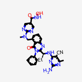 CC[C@H](Nc1nc(N)nc(C)c1C#N)c1nc2cccc(CN(C)c3ncc(C(=O)NO)cn3)c2c(=O)n1-c1ccccc1